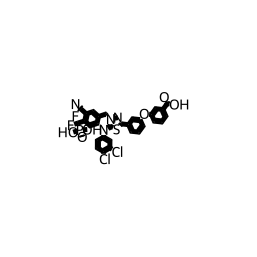 N#Cc1cc(Cn2nc(-c3cccc(Oc4cccc(C(=O)O)c4)c3)sc2=Nc2ccc(Cl)c(Cl)c2)ccc1C(F)(F)P(=O)(O)O